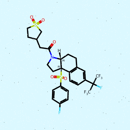 O=C(CC1CCS(=O)(=O)C1)N1CC[C@@]2(S(=O)(=O)c3ccc(F)cc3)c3ccc(C(F)(C(F)(F)F)C(F)(F)F)cc3CC[C@@H]12